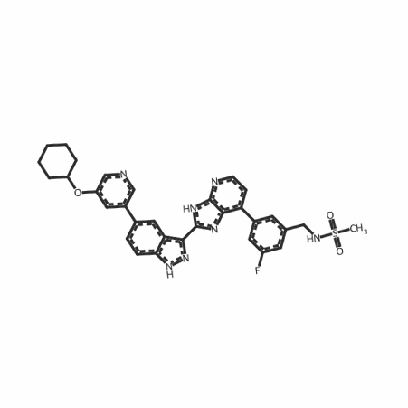 CS(=O)(=O)NCc1cc(F)cc(-c2ccnc3[nH]c(-c4n[nH]c5ccc(-c6cncc(OC7CCCCC7)c6)cc45)nc23)c1